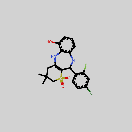 CC1(C)CC2=C(C(c3ccc(Cl)cc3F)Nc3cccc(O)c3N2)S(=O)(=O)C1